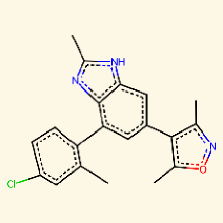 Cc1nc2c(-c3ccc(Cl)cc3C)cc(-c3c(C)noc3C)cc2[nH]1